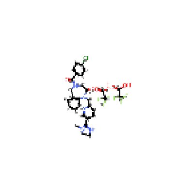 CN1CCN=C1c1ccc(CN2C(=O)CN(C(=O)c3ccc(Cl)cc3)Cc3ccccc32)nc1.O=C(O)C(F)(F)F.O=C(O)C(F)(F)F